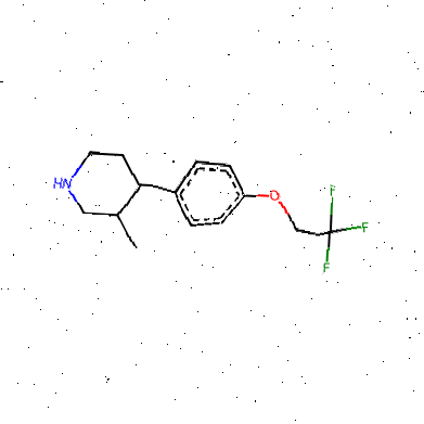 CC1CNCCC1c1ccc(OCC(F)(F)F)cc1